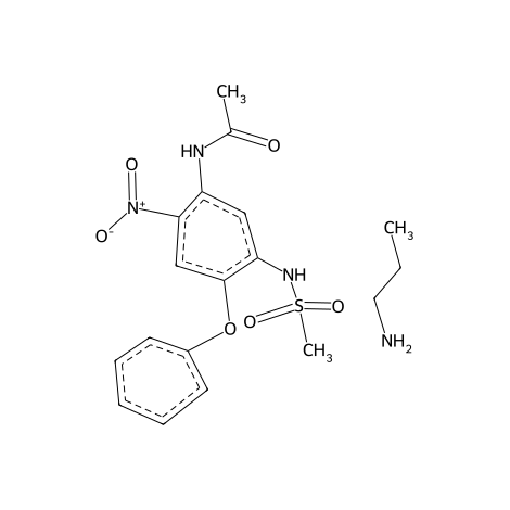 CC(=O)Nc1cc(NS(C)(=O)=O)c(Oc2ccccc2)cc1[N+](=O)[O-].CCCN